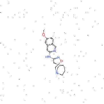 COc1ccc2cnc(NC3=NO[C@@]4(C3)CN3CCC4CC3)cc2c1